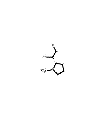 O=C(O)N1CCC[C@H]1C(O)CF